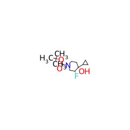 CC(C)(C)OC(=O)N1CCC(O)(C2CC2)C(F)C1